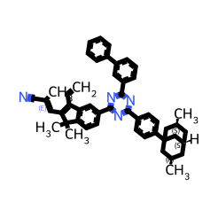 C=CC1=C(/C=C(\C)C#N)C(C)(C)c2ccc(-c3nc(-c4ccc(C56C[C@H](C)C[C@H](C[C@H](C)C5)C6)cc4)nc(-c4cccc(-c5ccccc5)c4)n3)cc21